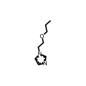 CCCOCCn1ccnc1